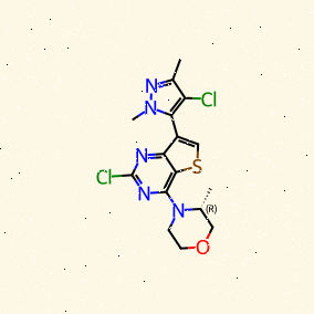 Cc1nn(C)c(-c2csc3c(N4CCOC[C@H]4C)nc(Cl)nc23)c1Cl